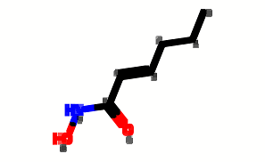 CCCC=CC(=O)NO